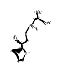 CC(C)(C)C(O)CNCCC(=O)c1ccco1